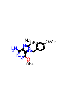 CCCCOc1nnc(N)c2nc(CCCC)n(Cc3ccc(OC)cc3)c12.[Na]